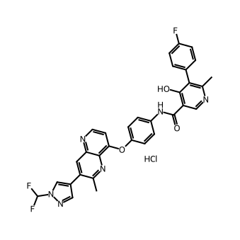 Cc1nc2c(Oc3ccc(NC(=O)c4cnc(C)c(-c5ccc(F)cc5)c4O)cc3)ccnc2cc1-c1cnn(C(F)F)c1.Cl